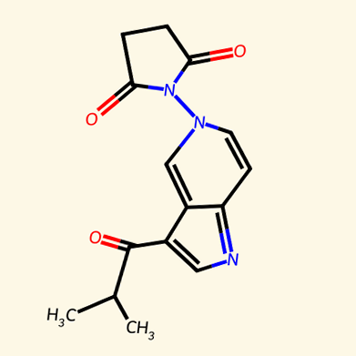 CC(C)C(=O)c1cnc2ccn(N3C(=O)CCC3=O)cc1-2